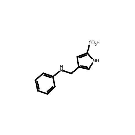 O=C(O)c1cc(CNc2ccccc2)c[nH]1